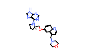 c1cc(CN2CCOCC2)c2cc(OC[C@H]3CCCN3c3ncnc4[nH]cnc34)ccc2n1